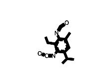 CCc1c(N=C=O)c(C)cc(C(C)C)c1N=C=O